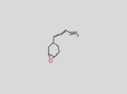 [SiH3]C=C=CC1CCC2OC2C1